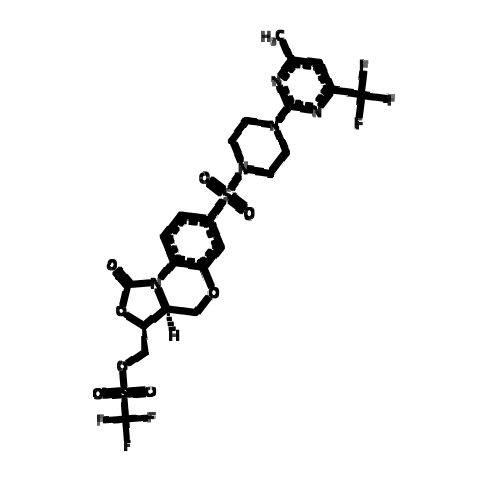 Cc1cc(C(F)(F)F)nc(N2CCN(S(=O)(=O)c3ccc4c(c3)OC[C@H]3[C@@H](COS(=O)(=O)C(F)(F)F)OC(=O)N43)CC2)n1